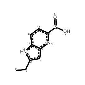 CCc1cc2nc(S(=O)O)ccc2[nH]1